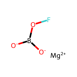 [Mg+2].[O-]B([O-])OF